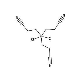 N#CCCP(Cl)(Cl)(CCC#N)CCC#N